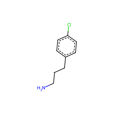 NC[CH]Cc1ccc(Cl)cc1